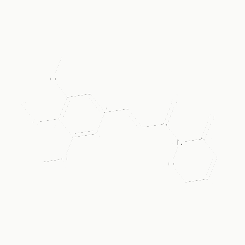 COc1cc(C=CC(=O)N2OCC=CC2=O)cc(OC)c1OC